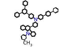 CC1C=CC=C(n2c3ccccc3c3c(-c4cccc(N(c5ccc(-c6ccc(C7C=CC=CC7)cc6)cc5)c5ccc(-c6cc(-c7ccccc7)cc(-c7ccccc7)c6)cc5)c4)cc4ccccc4c32)C1